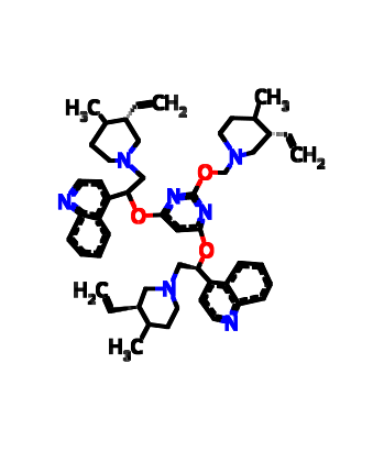 C=C[C@@H]1CN(COc2nc(OC(CN3CCC(C)[C@H](C=C)C3)c3ccnc4ccccc34)cc(O[C@H](CN3CCC(C)[C@@H](C=C)C3)c3ccnc4ccccc34)n2)CCC1C